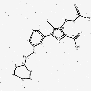 Cc1c(-c2cccc(CNC3CCCCC3)c2)sc(C(=O)O)c1OCC(=O)O